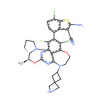 C[C@H](Oc1nc2c3c(c(Cl)c(-c4ccc(F)c5sc(N)c(C#N)c45)c(F)c3n1)OCCN2C1CC2(CNC2)C1)[C@@H]1CCCN1C